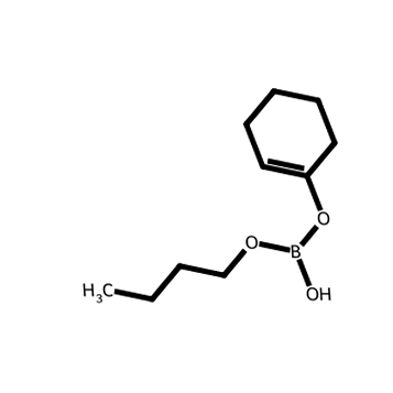 CCCCOB(O)OC1=CCCCC1